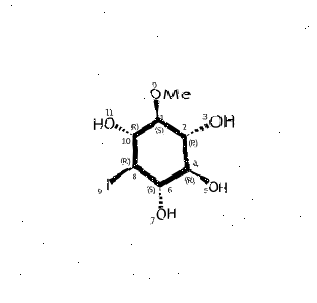 CO[C@H]1[C@H](O)[C@@H](O)[C@H](O)[C@@H](I)[C@@H]1O